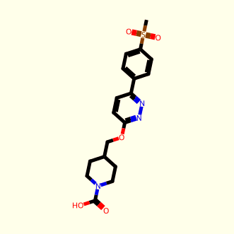 CS(=O)(=O)c1ccc(-c2ccc(OCC3CCN(C(=O)O)CC3)nn2)cc1